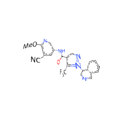 COc1ncc(NC(=O)c2cnn(-c3cncc4ccccc34)c2C(F)(F)F)cc1C#N